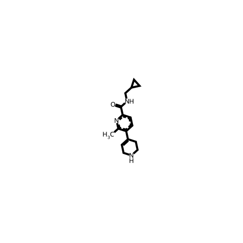 Cc1nc(C(=O)NCC2CC2)ccc1C1=CCNCC1